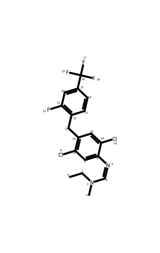 CCN(C)/C=N\c1cc(Cl)c(Cc2ccc(C(F)(F)F)cc2F)cc1Cl